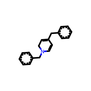 C1=CN(Cc2ccccc2)CC=C1Cc1ccccc1